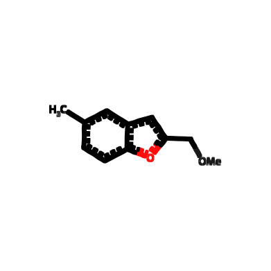 COCc1cc2cc(C)ccc2o1